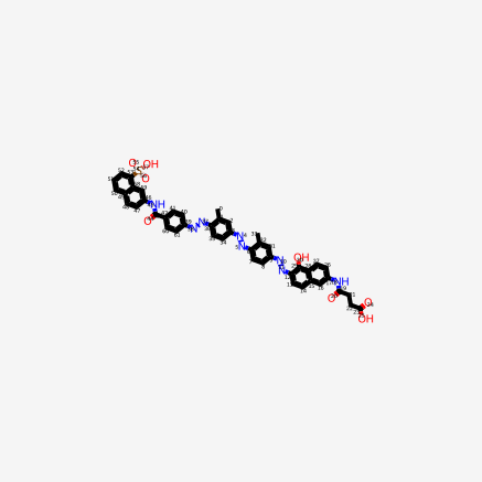 Cc1cc(N=Nc2ccc(N=Nc3ccc4cc(NC(=O)CCC(=O)O)ccc4c3O)cc2C)ccc1N=Nc1ccc(C(=O)Nc2ccc3cccc(S(=O)(=O)O)c3c2)cc1